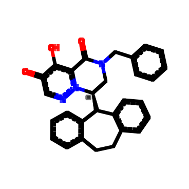 O=C1c2c(O)c(=O)cnn2[C@H](C2c3ccccc3CCc3ccccc32)CN1Cc1ccccc1